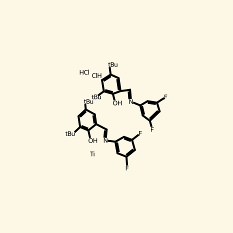 CC(C)(C)c1cc(C=Nc2cc(F)cc(F)c2)c(O)c(C(C)(C)C)c1.CC(C)(C)c1cc(C=Nc2cc(F)cc(F)c2)c(O)c(C(C)(C)C)c1.Cl.Cl.[Ti]